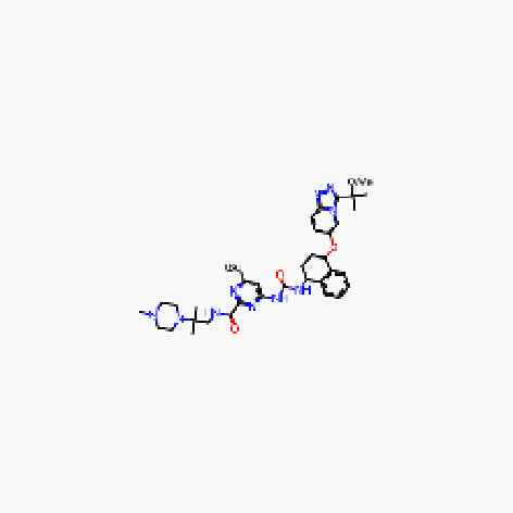 COC(C)(C)c1nnc2ccc(O[C@@H]3CC[C@H](NC(=O)Nc4cc(C(C)(C)C)nc(C(=O)NCC(C)(C)N5CCN(C)CC5)n4)c4ccccc43)cn12